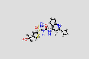 Cc1c(C2CCC2)nc2c(c1NC(=O)N[SH](N)(=O)c1cc(C(C)(C)O)cs1)CCC2